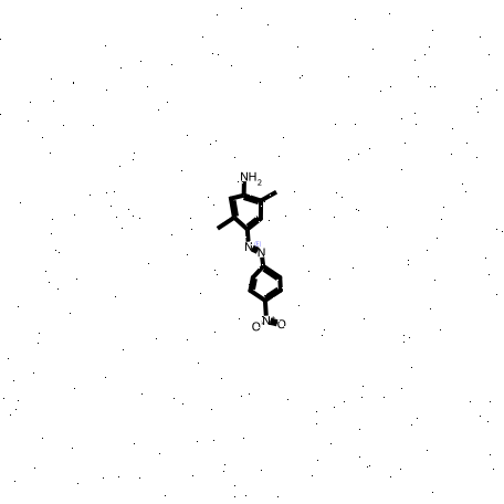 Cc1cc(/N=N/c2ccc([N+](=O)[O-])cc2)c(C)cc1N